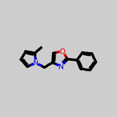 Cc1cccn1Cc1coc(-c2ccccc2)n1